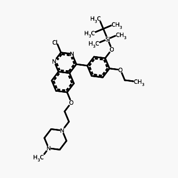 CCOc1ccc(-c2nc(Cl)nc3ccc(OCCN4CCN(C)CC4)cc23)cc1O[Si](C)(C)C(C)(C)C